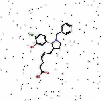 Br.O=C(O)CC/C=C\C[C@@H]1CCN(Cc2ccccc2)[C@H]1c1cccc(O)c1